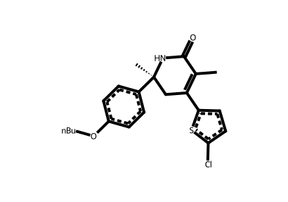 CCCCOc1ccc([C@]2(C)CC(c3ccc(Cl)s3)=C(C)C(=O)N2)cc1